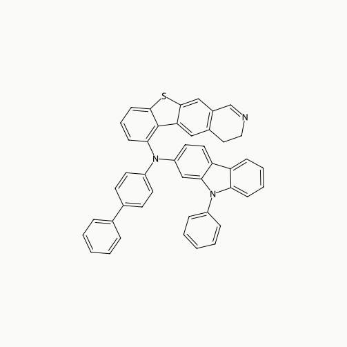 C1=NCCc2cc3c(cc21)sc1cccc(N(c2ccc(-c4ccccc4)cc2)c2ccc4c5ccccc5n(-c5ccccc5)c4c2)c13